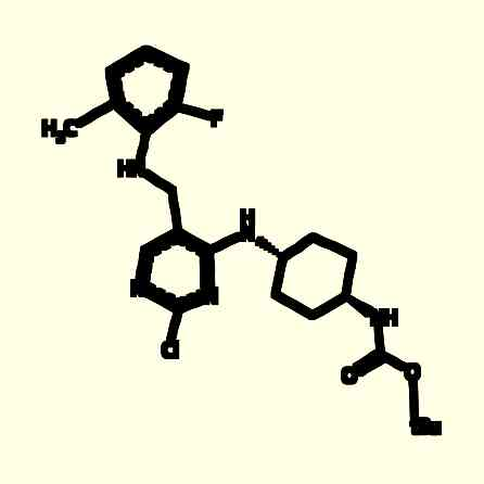 Cc1cccc(F)c1NCc1cnc(Cl)nc1N[C@H]1CC[C@H](NC(=O)OC(C)(C)C)CC1